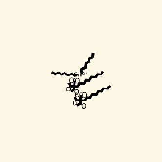 CCCCCCCCCCC(C(C)=O)(C(C)=O)C(=O)[O-].CCCCCCCCCCC(C(C)=O)(C(C)=O)C(=O)[O-].CCCCCCC[CH2][Sn+2][CH2]CCCCCCC